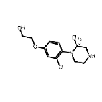 C[C@H]1CNCCN1c1ccc(OCCO)cc1Cl